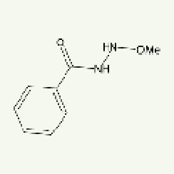 CONNC(=O)c1ccccc1